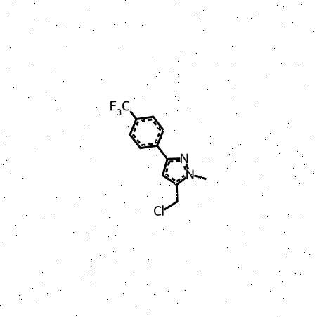 Cn1nc(-c2ccc(C(F)(F)F)cc2)cc1CCl